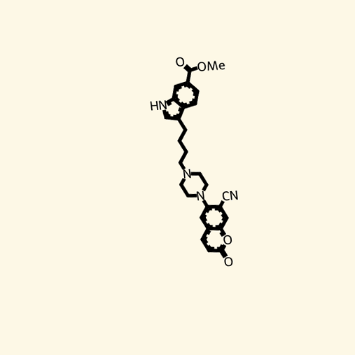 COC(=O)c1ccc2c(CCCCN3CCN(c4cc5ccc(=O)oc5cc4C#N)CC3)c[nH]c2c1